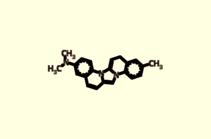 Cc1ccc2c(c1)CC=C1N2C=C2C=Cc3cc(N(C)C)ccc3N21